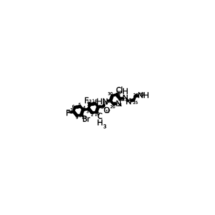 Cc1cc(-c2ccc(F)cc2Br)c(F)cc1C(=O)Nc1cnc(N/N=C\C=N)c(Cl)c1